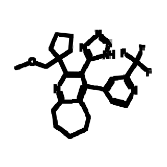 COCC1(c2nc3c(c(-c4ccnc(C(F)(F)F)c4)c2-c2nnn[nH]2)CCCCC3)CCCC1